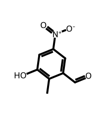 Cc1c(O)cc([N+](=O)[O-])cc1C=O